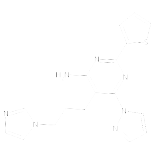 Nc1nc(-c2cccs2)nc(-n2cccn2)c1CCCn1ccnc1